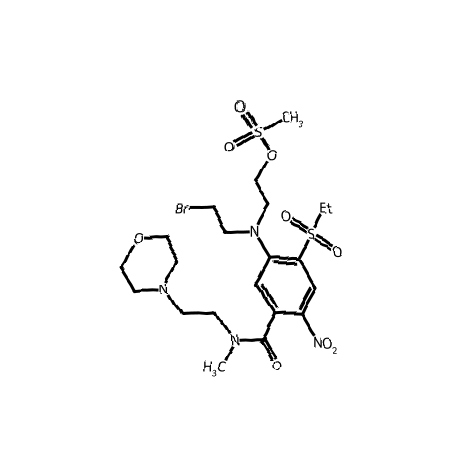 CCS(=O)(=O)c1cc([N+](=O)[O-])c(C(=O)N(C)CCN2CCOCC2)cc1N(CCBr)CCOS(C)(=O)=O